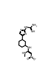 CNC(=C[N+](=O)[O-])NC1CCCC(c2csc(NC(=N)N)n2)C1